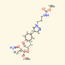 CC(C)(C)OC(=O)NCCCn1cc(-c2ccc3c(c2)CC[C@H](C(C)(ON)C(=O)OC(C)(C)C)O3)cn1